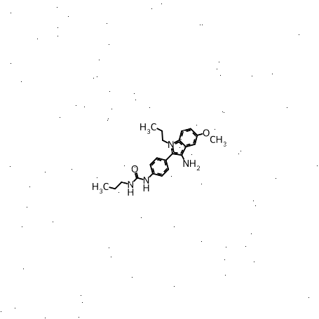 CCCNC(=O)Nc1ccc(-c2c(N)c3cc(OC)ccc3n2CCC)cc1